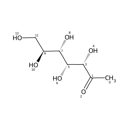 CC(=O)[C@@H](O)[C@H](O)[C@@H](O)[C@@H](O)CO